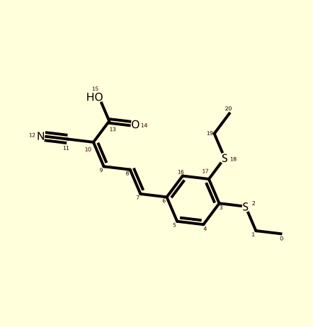 CCSc1ccc(C=CC=C(C#N)C(=O)O)cc1SCC